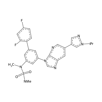 CNS(=O)(=O)N(C)c1cc(-c2ccc(F)cc2F)cc(-n2cnc3cc(-c4cnn(C(C)C)c4)cnc32)c1